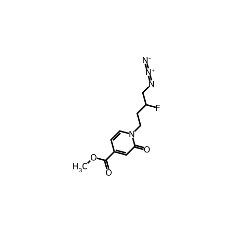 COC(=O)c1ccn(CCC(F)CN=[N+]=[N-])c(=O)c1